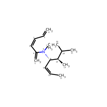 C=C/C=C\C(=C)N(C)[C@@H](/C=C\C)[C@H](C)C(C)C